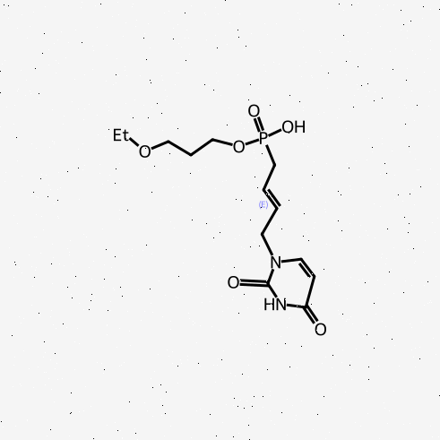 CCOCCCOP(=O)(O)C/C=C/Cn1ccc(=O)[nH]c1=O